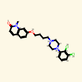 Cn1c(=O)ccc2ccc(OCCCCN3CCN(c4cccc(Cl)c4Cl)CC3)cc21